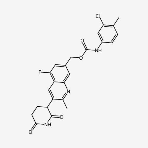 Cc1ccc(NC(=O)OCc2cc(F)c3cc(C4CCC(=O)NC4=O)c(C)nc3c2)cc1Cl